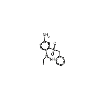 CCN(N)c1ccc(N)cc1S(=O)(=O)Cc1ccccc1